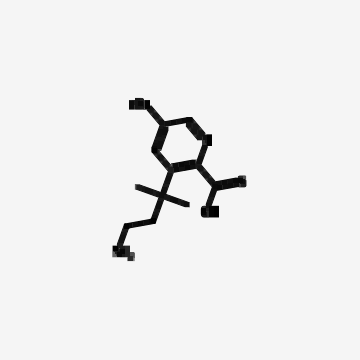 CCCCc1cnc(C(O)=S)c(C(C)(C)CCN)c1